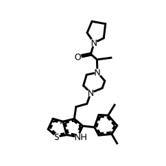 Cc1cc(C)cc(-c2[nH]c3sccc3c2CCN2CCN(C(C)C(=O)N3CCCC3)CC2)c1